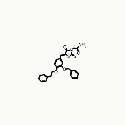 NC(=O)CN1C(=O)C(=Cc2ccc(OCCc3ccccc3)c(OCc3ccccc3)c2)SC1=S